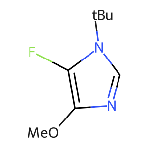 COc1ncn(C(C)(C)C)c1F